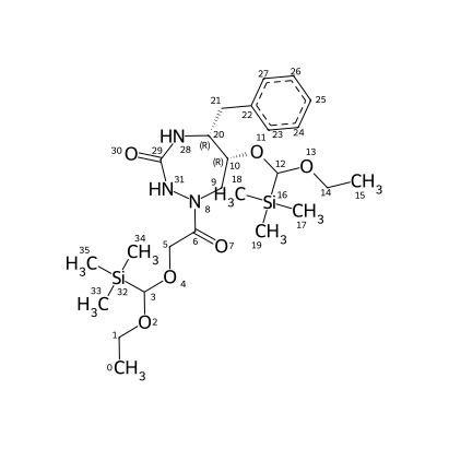 CCOC(OCC(=O)N1C[C@@H](OC(OCC)[Si](C)(C)C)[C@@H](Cc2ccccc2)NC(=O)N1)[Si](C)(C)C